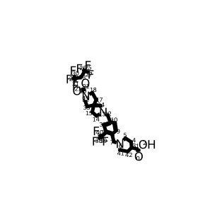 O=C(O)C1CCN(Cc2ccc(CN3CCC4(CCN(C(=O)OC(C(F)(F)F)C(F)(F)F)CC4)C3)cc2C(F)(F)F)CC1